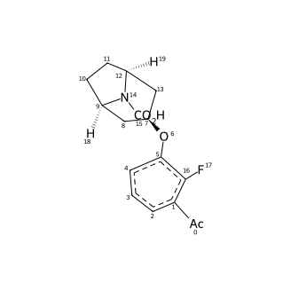 CC(=O)c1cccc(O[C@H]2C[C@H]3CC[C@@H](C2)N3C(=O)O)c1F